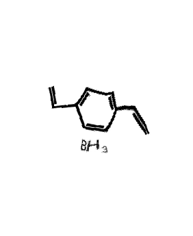 B.C=Cc1ccc(C=C)cc1